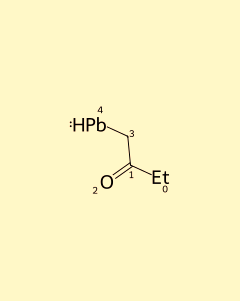 CCC(=O)[CH2][PbH]